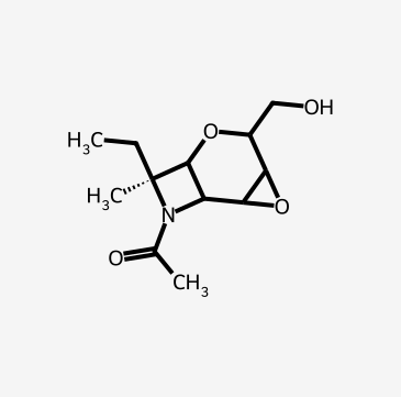 CC[C@@]1(C)C2OC(CO)C3OC3C2N1C(C)=O